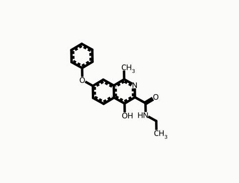 CCNC(=O)c1nc(C)c2cc(Oc3ccccc3)ccc2c1O